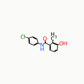 Cc1c(O)cccc1C(=O)Nc1ccc(Cl)cc1